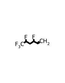 C=CC(F)CC(F)C(F)(F)F